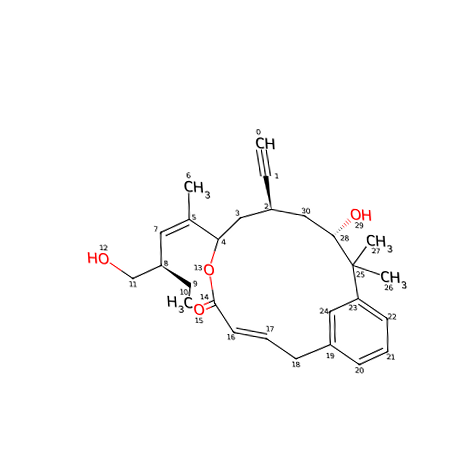 C#C[C@@H]1CC(/C(C)=C\[C@@H](CC)CO)OC(=O)/C=C/Cc2cccc(c2)C(C)(C)[C@@H](O)C1